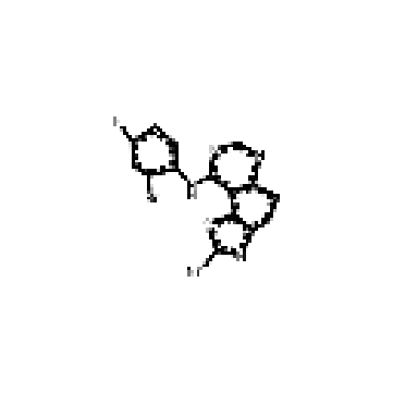 N#Cc1nc2ccc3ncnc(Nc4ccc(F)cc4Br)c3c2s1